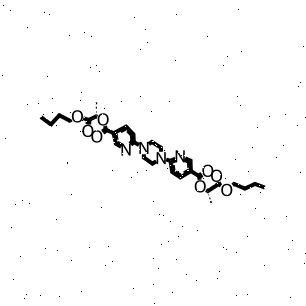 CCCCOC(=O)[C@H](C)OC(=O)c1ccc(N2CCN(c3ccc(C(=O)O[C@@H](C)C(=O)OCCCC)cn3)CC2)nc1